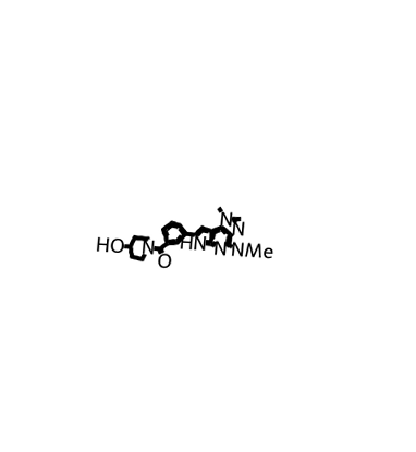 CNc1nc2[nH]c(-c3cccc(C(=O)N4CCC(O)CC4)c3)cc2c2c1ncn2C